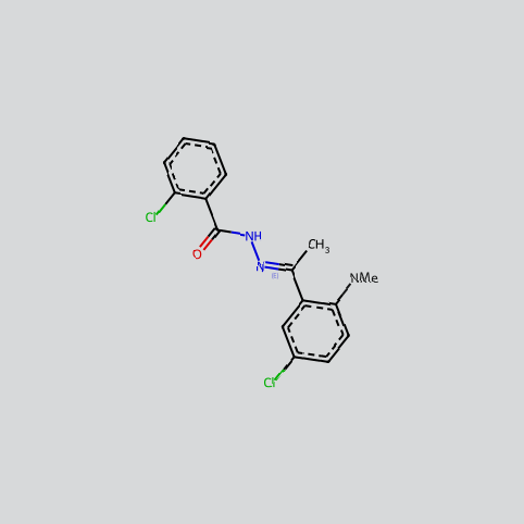 CNc1ccc(Cl)cc1/C(C)=N/NC(=O)c1ccccc1Cl